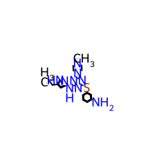 CCCc1cc(Nc2nc(Sc3cccc(N)c3)nc(N3CCN(C)CC3)n2)n[nH]1